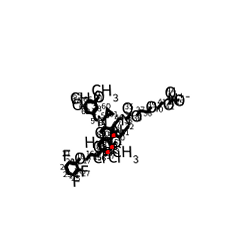 COc1cc(CN(C(=O)C2=C(c3ccc(CCCOc4c(F)ccc(F)c4F)cc3)CC3CN(C(=O)OCCOCCO[N+](=O)[O-])CC2N3C(=O)OC(C)(C)C(Cl)(Cl)Cl)C2CC2)cc(OC)c1